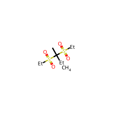 C.CCC(C)(S(=O)(=O)CC)S(=O)(=O)CC